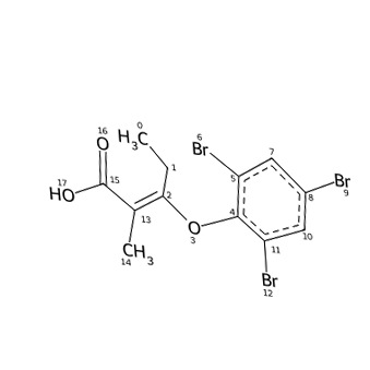 CC/C(Oc1c(Br)cc(Br)cc1Br)=C(/C)C(=O)O